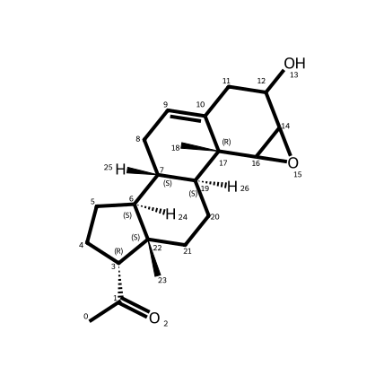 CC(=O)[C@@H]1CC[C@H]2[C@@H]3CC=C4CC(O)C5OC5[C@]4(C)[C@H]3CC[C@]12C